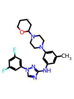 Cc1cc(Nc2ncn(-c3cc(F)cc(F)c3)n2)cc(N2CCN(C3C[CH]CCO3)CC2)c1